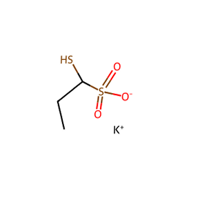 CCC(S)S(=O)(=O)[O-].[K+]